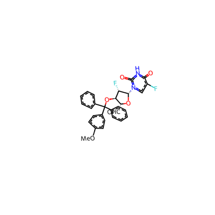 COc1ccc(C(O[C@H]2[C@H](F)[C@H](n3cc(F)c(=O)[nH]c3=O)O[C@@H]2C=O)(c2ccccc2)c2ccccc2)cc1